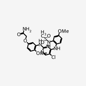 COc1ccc(Nc2nc(Nc3cc(OCC(N)=O)ccc3OC)ncc2Cl)c(NS(C)(=O)=O)c1